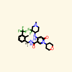 Cc1c([C@@H](C)NC(=O)c2cn(C3CCOCC3)c(=O)cc2NC2CCN(C)CC2(F)F)cccc1C(F)(F)F